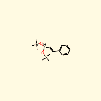 C[Si](C)(C)O[SiH](C=Cc1ccccc1)O[Si](C)(C)C